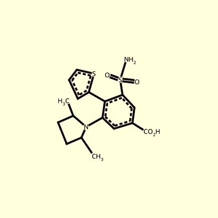 CC1CCC(C)N1c1cc(C(=O)O)cc(S(N)(=O)=O)c1-c1cccs1